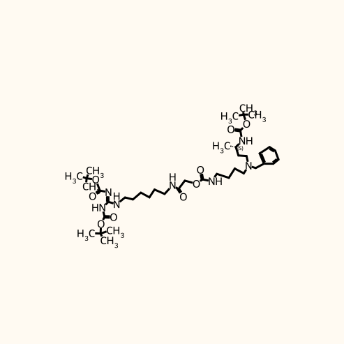 C[C@@H](CCN(CCCCNC(=O)OCC(=O)NCCCCCCNC(=NC(=O)OC(C)(C)C)NC(=O)OC(C)(C)C)Cc1ccccc1)NC(=O)OC(C)(C)C